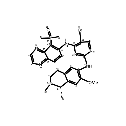 COc1cc2c(cc1Nc1ncc(Br)c(Nc3ccc4nccnc4c3P(C)(C)=O)n1)CCN(C)[C@H]2C